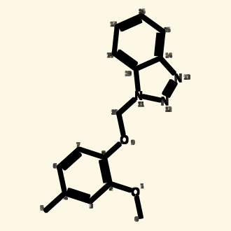 COc1cc(C)ccc1OCn1nnc2ccccc21